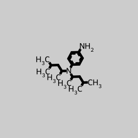 CC(C)CC(C)N(c1ccc(N)cc1)C(C)CC(C)C